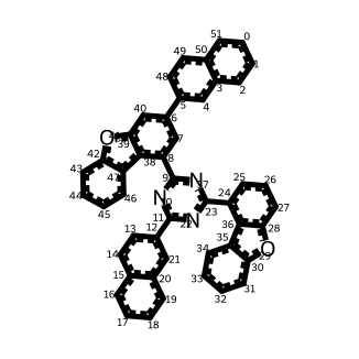 c1ccc2cc(-c3cc(-c4nc(-c5ccc6ccccc6c5)nc(-c5cccc6oc7ccccc7c56)n4)c4c(c3)oc3ccccc34)ccc2c1